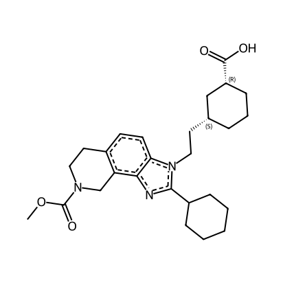 COC(=O)N1CCc2ccc3c(nc(C4CCCCC4)n3CC[C@H]3CCC[C@@H](C(=O)O)C3)c2C1